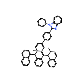 CC1C=Cc2ccccc2C1C1=C2C=C(c3ccc(-c4nc5ccccc5n4-c4ccccc4)cc3)C=CC2(C)C(c2cccc3ccccc23)c2ccccc21